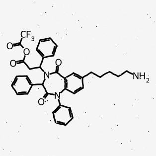 NCCCCCc1ccc2c(c1)C(=O)N(C(CC(=O)OC(=O)C(F)(F)F)c1ccccc1)C(c1ccccc1)C(=O)N2c1ccccc1